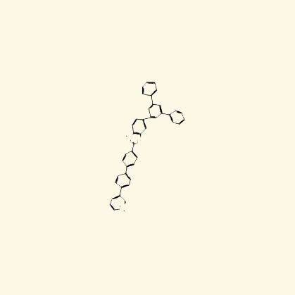 c1ccc(-c2cc(-c3ccccc3)cc(-c3ccc4nc(-c5ccc(-c6ccc(-c7cccnc7)cc6)cc5)oc4c3)c2)cc1